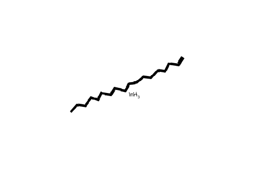 C=CCCCCCCCCCCCCCCCC.[InH3]